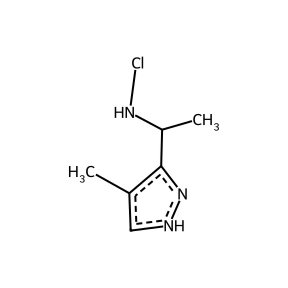 Cc1c[nH]nc1C(C)NCl